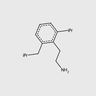 CC(C)Cc1cccc(C(C)C)c1CCN